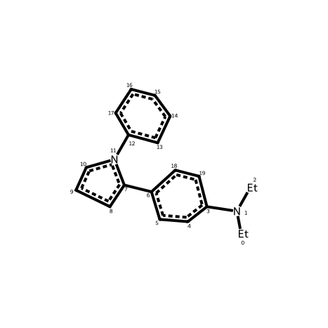 CCN(CC)c1ccc(-c2cccn2-c2ccccc2)cc1